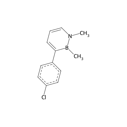 CB1C(c2ccc(Cl)cc2)=CC=CN1C